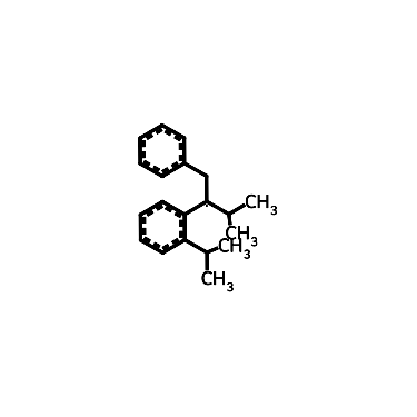 CC(C)[C](Cc1ccccc1)c1ccccc1C(C)C